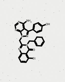 CCc1cccc2nc(Cn3nc(-c4ccc(O)cc4)c4c(N)ncnc43)n(CC3=CC=C[C][C]3)c(=O)c12